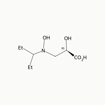 CCC(CC)N(O)C[C@@H](O)C(=O)O